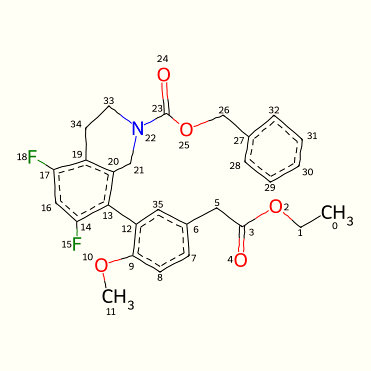 CCOC(=O)Cc1ccc(OC)c(-c2c(F)cc(F)c3c2CN(C(=O)OCc2ccccc2)CC3)c1